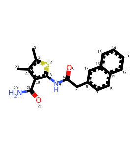 Cc1sc(NC(=O)Cc2ccc3ccccc3c2)c(C(N)=O)c1C